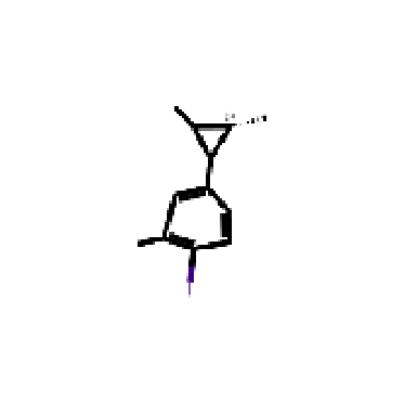 Cc1cc(C2C(C)[C@@H]2C)ccc1I